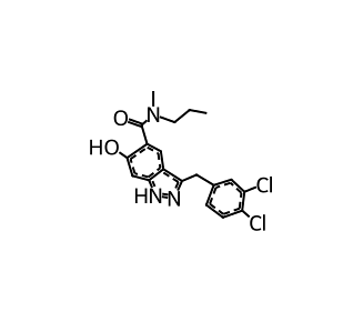 CCCN(C)C(=O)c1cc2c(Cc3ccc(Cl)c(Cl)c3)n[nH]c2cc1O